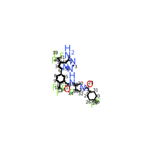 Nc1ncnn2c(-c3ccc(C(F)(F)F)c(C(=O)N[C@@H]4CN(C(=O)C5CCC(F)(F)CC5)C[C@@H]4F)c3)cc(C(F)(F)F)c12